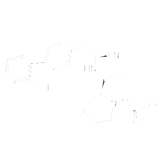 Cc1ccccc1-c1ccc(C[C@@H](C#N)NC(=O)[C@@H]2CCCCN2OC(=O)C(F)(F)F)cc1